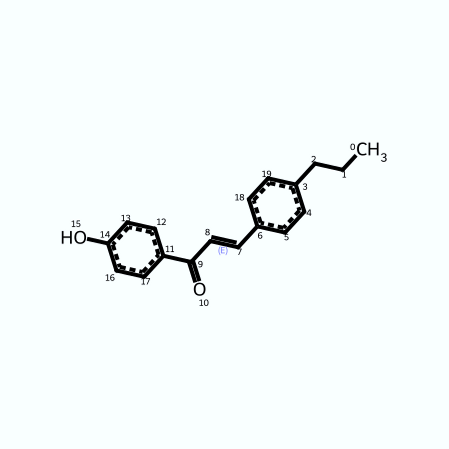 CCCc1ccc(/C=C/C(=O)c2ccc(O)cc2)cc1